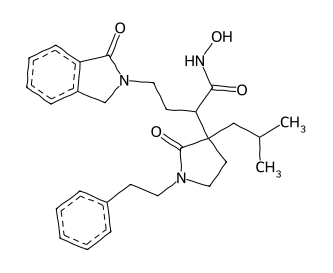 CC(C)CC1(C(CCN2Cc3ccccc3C2=O)C(=O)NO)CCN(CCc2ccccc2)C1=O